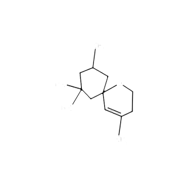 CC1=CC2(CC(C)CC(C)(C)C2)OCC1